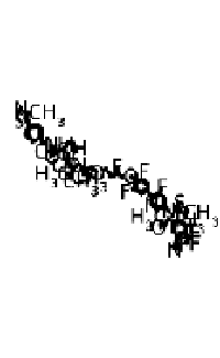 Cc1ncsc1-c1ccc(C(C)NC(=O)C2CCCN2C(=O)C(NC(=O)COCCC(F)COc2c(F)cc(-c3ncc(N(C(=S)N(C)c4ccc(C#N)c(C(F)(F)F)c4F)C(C)(C)C=O)cc3F)cc2F)C(C)(C)C)cc1